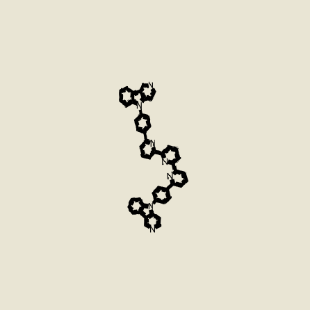 c1cc(-c2ccc(-n3c4ccccc4c4cnccc43)cc2)nc(-c2cccc(-c3cccc(-c4ccc(-n5c6ccccc6c6cnccc65)cc4)n3)n2)c1